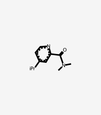 CC(C)c1ccnc(C(=O)N(C)C)c1